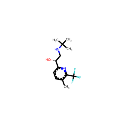 Cc1ccc([C@H](O)CNC(C)(C)C)nc1C(F)(F)F